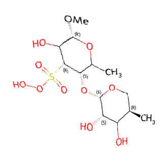 CO[C@@H]1OC(C)[C@H](O[C@@H]2OC[C@@H](C)C(O)[C@@H]2O)[C@H](S(=O)(=O)OO)C1O